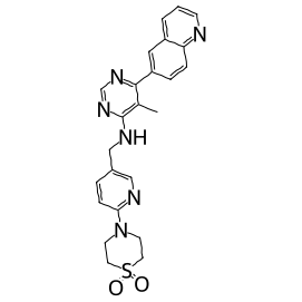 Cc1c(NCc2ccc(N3CCS(=O)(=O)CC3)nc2)ncnc1-c1ccc2ncccc2c1